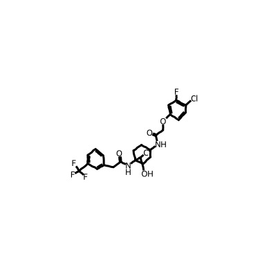 O=C(COc1ccc(Cl)c(F)c1)NC12CCC(NC(=O)Cc3cccc(C(F)(F)F)c3)(CC1)C(O)C2